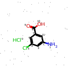 Cl.Nc1cc(Cl)cc(C(=O)O)c1